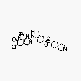 Cc1cc(S(=O)(=O)C2CCC3(CC2)CCN(C)CC3)ccc1Nc1ncc2cc(Cl)c(=O)n(C(C)C)c2n1